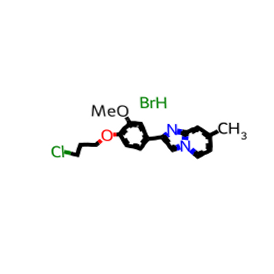 Br.COc1cc(-c2cn3ccc(C)cc3n2)ccc1OCCCCl